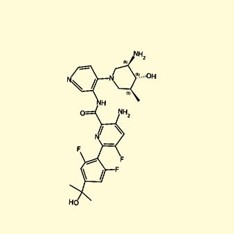 C[C@H]1CN(c2ccncc2NC(=O)c2nc(-c3c(F)cc(C(C)(C)O)cc3F)c(F)cc2N)C[C@@H](N)[C@@H]1O